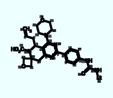 C=CCC1c2c(nc(-c3ccc(NC(=O)NCC)cc3)nc2N2CCOCC2)CC2(COC2)N1C(=O)O